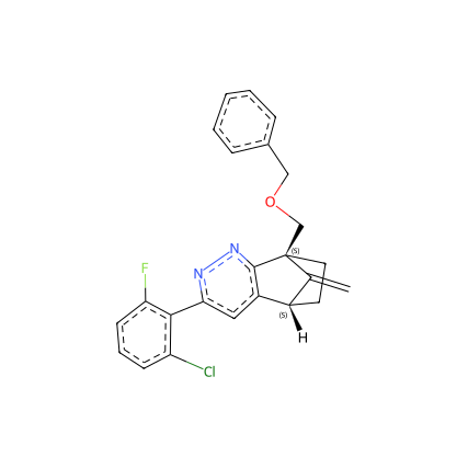 C=C1[C@@H]2CC[C@@]1(COCc1ccccc1)c1nnc(-c3c(F)cccc3Cl)cc12